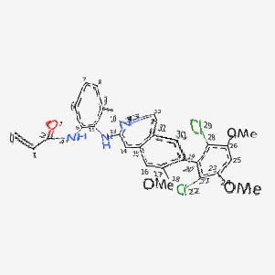 C=CC(=O)Nc1cccc(C)c1Nc1cc2cc(OC)c(-c3c(Cl)c(OC)cc(OC)c3Cl)cc2cn1